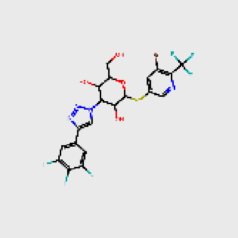 OCC1OC(Sc2cnc(C(F)(F)F)c(Br)c2)C(O)C(n2cc(-c3cc(F)c(F)c(F)c3)nn2)C1O